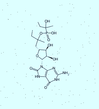 CCC(C)(C[C@H]1O[C@@H](n2c(=O)[nH]c3c(=O)[nH]c(N)nc32)[C@H](O)[C@@H]1O)OP(=O)(O)C(C)(O)CC